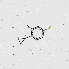 Cc1cc(F)ccc1[C]1CC1